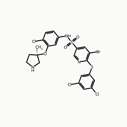 C[C@@]1(Oc2cc(NS(=O)(=O)c3cnc(Sc4cc(Cl)cc(Cl)c4)c(Br)c3)ccc2Cl)CCNC1